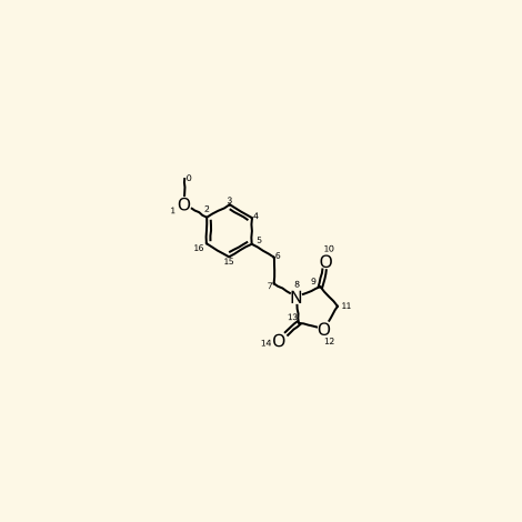 COc1ccc(CCN2C(=O)COC2=O)cc1